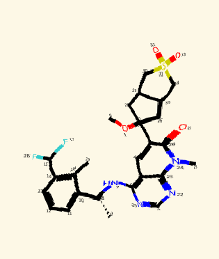 COC1(c2cc3c(N[C@H](C)c4cccc(C(F)F)c4C)ncnc3n(C)c2=O)CC2CS(=O)(=O)CC2C1